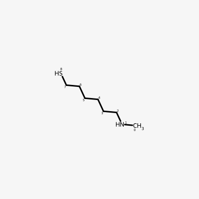 CNCCCCCCS